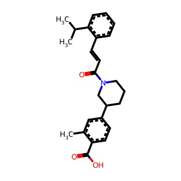 Cc1cc(C2CCCN(C(=O)C=Cc3ccccc3C(C)C)C2)ccc1C(=O)O